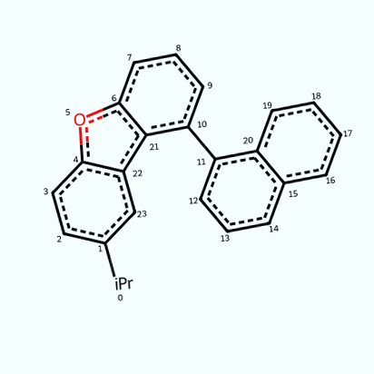 CC(C)c1ccc2oc3cccc(-c4cccc5ccccc45)c3c2c1